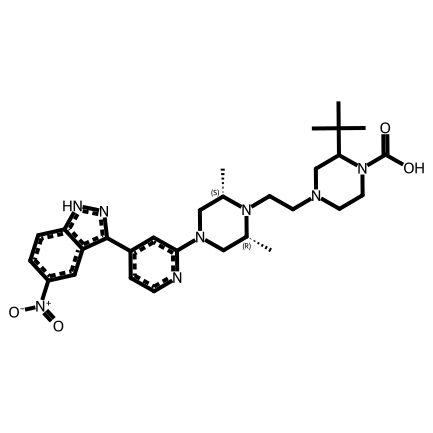 C[C@@H]1CN(c2cc(-c3n[nH]c4ccc([N+](=O)[O-])cc34)ccn2)C[C@H](C)N1CCN1CCN(C(=O)O)C(C(C)(C)C)C1